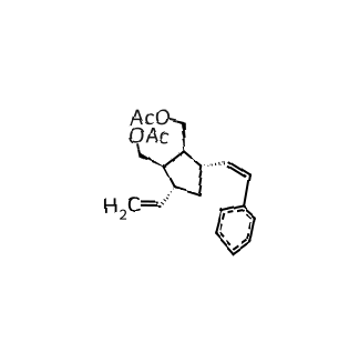 C=C[C@H]1C[C@@H](/C=C\c2ccccc2)[C@H](COC(C)=O)[C@@H]1COC(C)=O